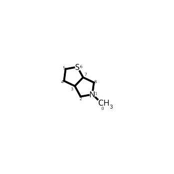 CN1CC2CCSC2C1